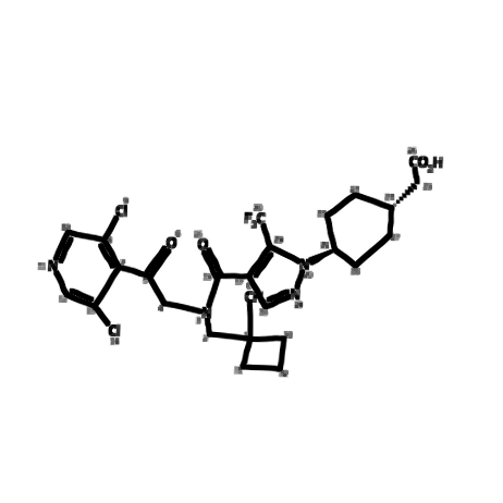 CC1(CN(CC(=O)c2c(Cl)cncc2Cl)C(=O)c2cnn([C@H]3CC[C@H](CC(=O)O)CC3)c2C(F)(F)F)CCC1